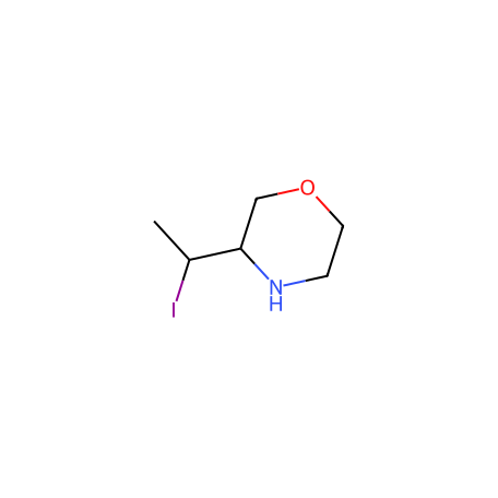 CC(I)C1COCCN1